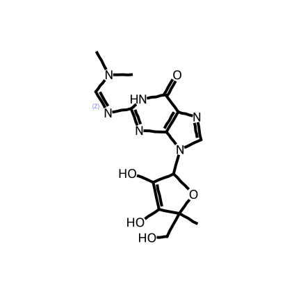 CN(C)/C=N\c1nc2c(ncn2C2OC(C)(CO)C(O)=C2O)c(=O)[nH]1